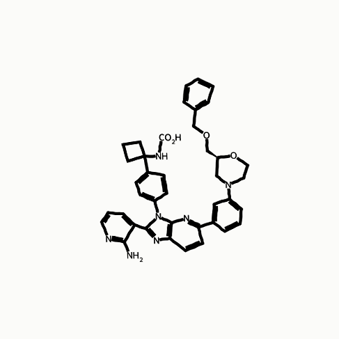 Nc1ncccc1-c1nc2ccc(-c3cccc(N4CCO[C@H](COCc5ccccc5)C4)c3)nc2n1-c1ccc(C2(NC(=O)O)CCC2)cc1